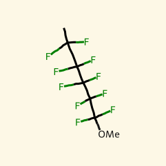 COC(F)(F)C(F)(F)C(F)(F)C(F)(F)C(C)(F)F